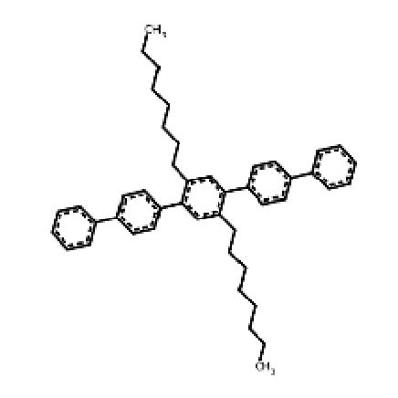 CCCCCCCCc1cc(-c2ccc(-c3ccccc3)cc2)c(CCCCCCCC)cc1-c1ccc(-c2ccccc2)cc1